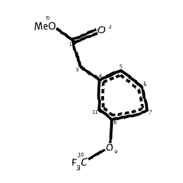 COC(=O)Cc1cccc(OC(F)(F)F)c1